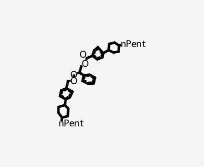 CCCCCC1CCC(c2ccc(COOC(COC(=O)c3ccc(C4CCC(CCCCC)CC4)cc3)c3ccccc3)cc2)CC1